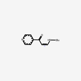 CC(C)(C)N/C=C\C(=O)c1ccncc1